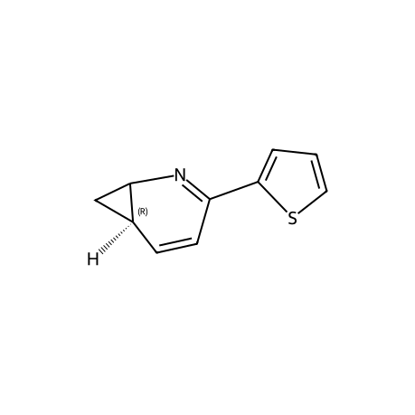 C1=C[C@H]2CC2N=C1c1cccs1